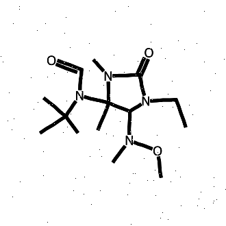 CCN1C(=O)N(C)C(C)(N(C=O)C(C)(C)C)C1N(C)OC